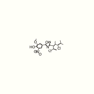 C=C(Cl)/C(=C(/C)C(Cl)=C(C)C)c1noc(-c2cc(OC)c(O)c([N+](=O)[O-])c2)n1